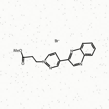 COC(=O)CC[n+]1ccc(-c2cnc3ccccc3n2)cn1.[Br-]